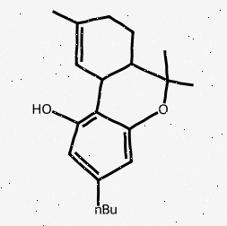 CCCCc1cc(O)c2c(c1)OC(C)(C)C1CCC(C)=CC21